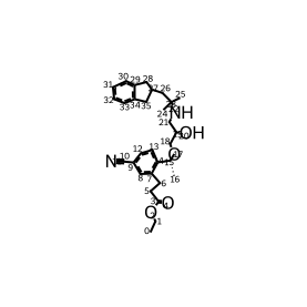 CCOC(=O)CCc1cc(C#N)ccc1[C@@H](C)OC[C@H](O)CNC(C)(C)CC1Cc2ccccc2C1